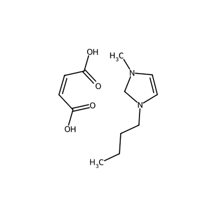 CCCCN1C=CN(C)C1.O=C(O)/C=C\C(=O)O